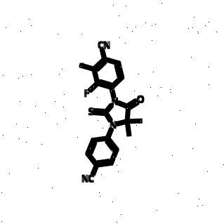 Cc1c(C#N)ccc(N2C(=O)C(C)(C)N(c3ccc(C#N)cc3)C2=S)c1F